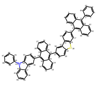 c1ccc(-c2c3ccccc3c(-c3ccc4c(c3)sc3ccc(-c5c6ccccc6c(-c6ccc7c(c6)c6ccccc6n7-c6ccccc6)c6ccccc56)cc34)c3ccccc23)cc1